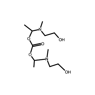 CC(OC(=O)OC(C)N(C)CCO)N(C)CCO